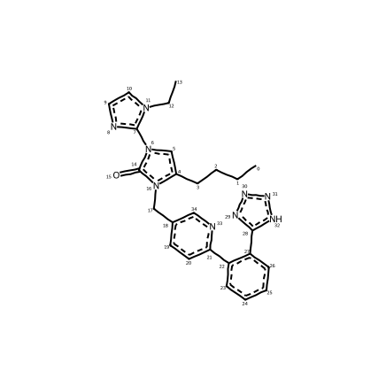 CCCCc1cn(-c2nccn2CC)c(=O)n1Cc1ccc(-c2ccccc2-c2nnn[nH]2)nc1